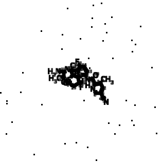 Cc1cc(C#N)cnc1C(=O)Nc1ccc(F)c([C@@]2(C)N=C(N)C(C)(C)[S@@]3(=O)=NCC(F)(F)C[C@H]23)n1